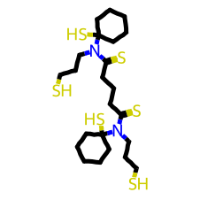 S=C(CCCC(=S)N(CCCS)C1(S)CCCCC1)N(CCCS)C1(S)CCCCC1